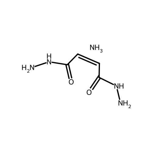 N.NNC(=O)/C=C\C(=O)NN